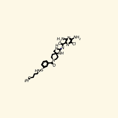 CC(C)OCCCNSc1cccc(C(=O)N2CCC3(CC2)CN/C(=N\C(=O)c2nc(Cl)c(N)nc2N)N3)c1